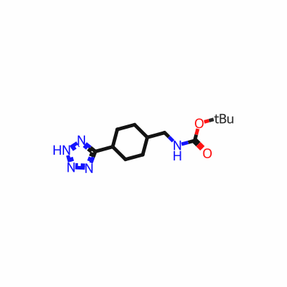 CC(C)(C)OC(=O)NCC1CCC(c2nn[nH]n2)CC1